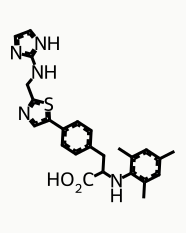 Cc1cc(C)c(NC(Cc2ccc(-c3cnc(CNc4ncc[nH]4)s3)cc2)C(=O)O)c(C)c1